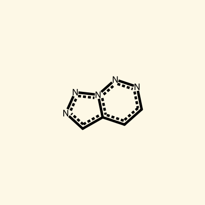 c1cc2cnnn2nn1